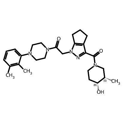 Cc1cccc(N2CCN(C(=O)Cn3nc(C(=O)N4CC[C@@H](O)[C@@H](C)C4)c4c3CCC4)CC2)c1C